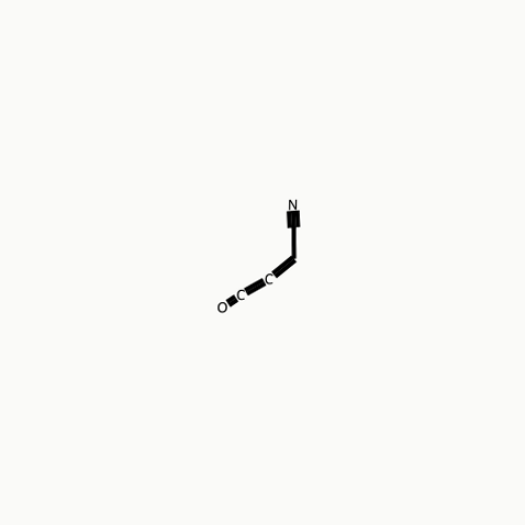 N#CC=C=C=O